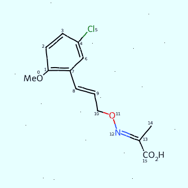 COc1ccc(Cl)cc1C=CCON=C(C)C(=O)O